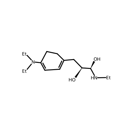 CCN[C@H](O)[C@@H](O)CC1=CC=C(N(CC)CC)CC1